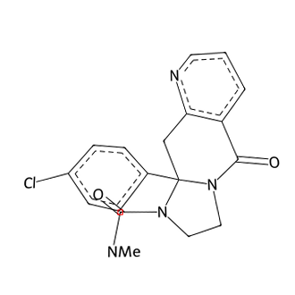 CNC(=O)N1CCN2C(=O)c3cccnc3CC12c1ccc(Cl)cc1